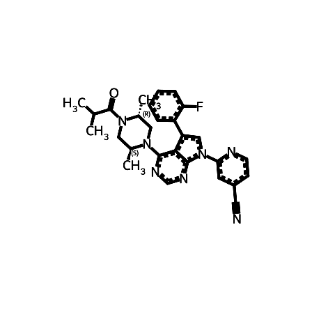 CC(C)C(=O)N1C[C@H](C)N(c2ncnc3c2c(-c2ccccc2F)cn3-c2cc(C#N)ccn2)C[C@H]1C